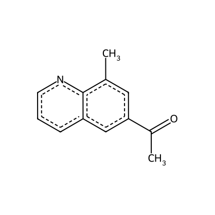 CC(=O)c1cc(C)c2ncccc2c1